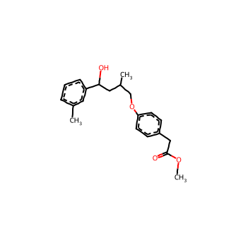 COC(=O)Cc1ccc(OCC(C)CC(O)c2cccc(C)c2)cc1